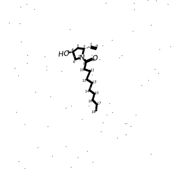 C=C[C@H]1C[C@H](O)CN1C(=O)CCCCCCCCC